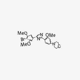 COc1cc(N2CCOCC2)ccc1-c1nc(-c2cc(OC)c(Br)c(OC)c2)cn1C